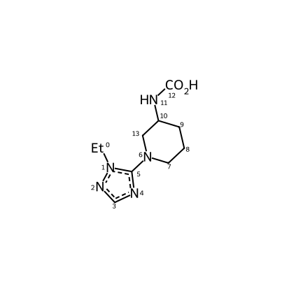 CCn1ncnc1N1CCCC(NC(=O)O)C1